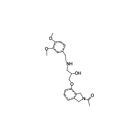 COc1ccc(CCNCC(O)COc2cccc3c2CN(C(C)=O)C3)cc1OC